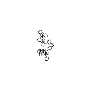 c1ccc(C2=NC(c3ccc4sc5cccc(-c6cccc7c6oc6c(-n8c9ccccc9c9ccccc98)cccc67)c5c4c3)NC(c3ccccc3)N2)cc1